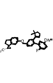 CCOC(=O)[C@H]1C[C@]12CCc1ccc(OCc3ccc(-c4cc(OC)ccc4F)c(C4=CCCC4(C)C)c3)cc12